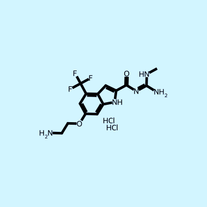 CNC(N)=NC(=O)c1cc2c(C(F)(F)F)cc(OCCN)cc2[nH]1.Cl.Cl